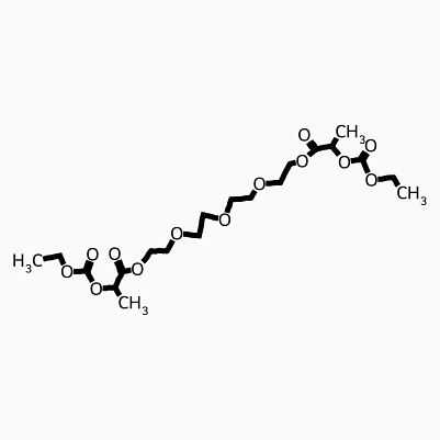 CCOC(=O)OC(C)C(=O)OCCOCCOCCOCCOC(=O)C(C)OC(=O)OCC